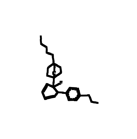 CCCCCC12CCC(C3(F)C=CC=CC3c3ccc(CCC)cc3)(CC1)CC2